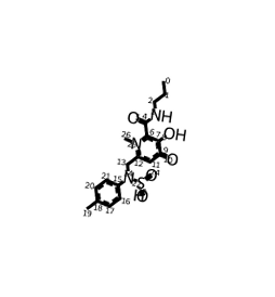 CCCNC(=O)c1c(O)c(=O)cc(CN(c2ccc(C)cc2)[SH](=O)=O)n1C